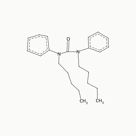 CCCCCN(C(=O)N(CCCCC)c1ccccc1)c1ccccc1